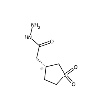 NNC(=O)C[C@H]1CCS(=O)(=O)C1